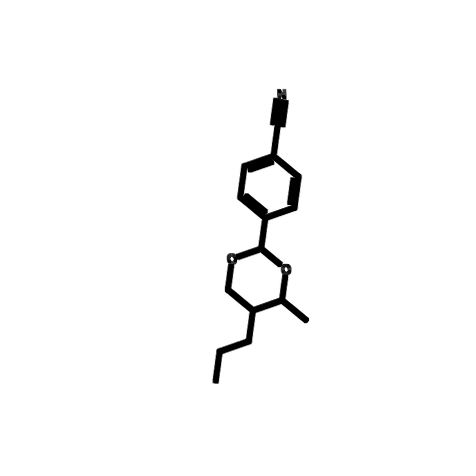 CCCC1COC(c2ccc(C#N)cc2)OC1C